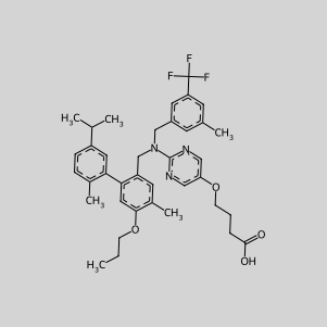 CCCOc1cc(-c2cc(C(C)C)ccc2C)c(CN(Cc2cc(C)cc(C(F)(F)F)c2)c2ncc(OCCCC(=O)O)cn2)cc1C